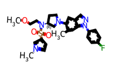 COCCN([C@@H]1CCN(c2cc3cnn(-c4ccc(F)cc4)c3cc2C)C1)S(=O)(=O)c1ccn(C)c1